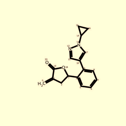 C=C1CC(c2ccccc2-c2cnn(C3CC3)c2)OC1=O